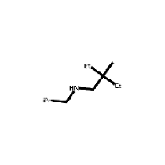 CCC(C)(CC)CNCC(C)C